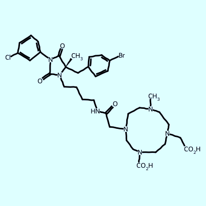 CN1CCN(CC(=O)O)CCN(C(=O)O)CCN(CC(=O)NCCCCN2C(=O)N(c3cccc(Cl)c3)C(=O)[C@]2(C)Cc2ccc(Br)cc2)CC1